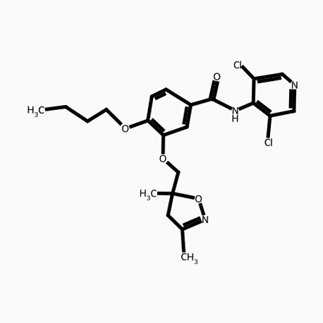 CCCCOc1ccc(C(=O)Nc2c(Cl)cncc2Cl)cc1OCC1(C)CC(C)=NO1